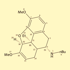 CCCCN[C@H]1Cc2ccc(OC)c3c2[C@@]2(CC)C1CC=C(OC)[C@H]2O3